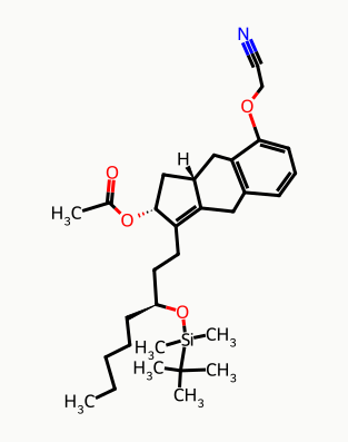 CCCCC[C@@H](CCC1=C2Cc3cccc(OCC#N)c3C[C@H]2C[C@H]1OC(C)=O)O[Si](C)(C)C(C)(C)C